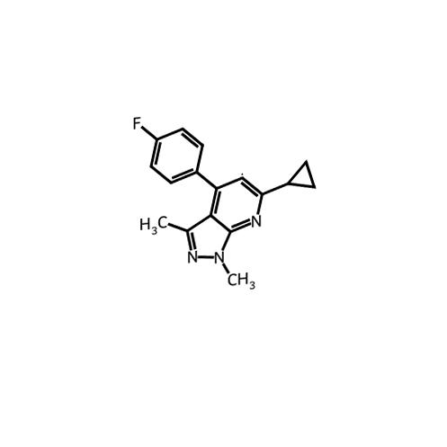 Cc1nn(C)c2nc(C3CC3)[c]c(-c3ccc(F)cc3)c12